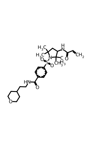 C=CC(=O)NC1CC(C)(C)N(S(=O)(=O)c2ccc(C(=O)NCCC3CCOCC3)cc2)C1(C)C